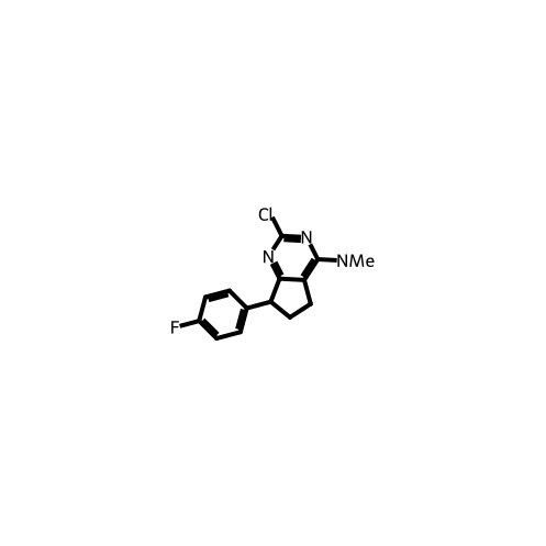 CNc1nc(Cl)nc2c1CCC2c1ccc(F)cc1